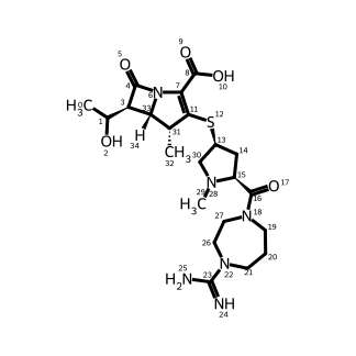 CC(O)[C@H]1C(=O)N2C(C(=O)O)=C(S[C@H]3C[C@@H](C(=O)N4CCCN(C(=N)N)CC4)N(C)C3)[C@H](C)[C@H]12